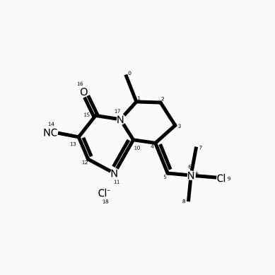 CC1CCC(=C[N+](C)(C)Cl)c2ncc(C#N)c(=O)n21.[Cl-]